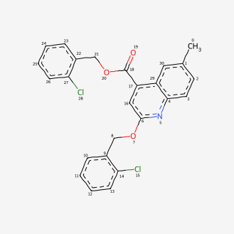 Cc1ccc2nc(OCc3ccccc3Cl)cc(C(=O)OCc3ccccc3Cl)c2c1